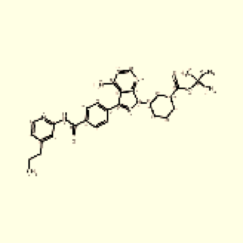 CCCc1ccnc(NC(=O)c2ccc(-c3nn([C@@H]4CCCN(C(=O)OC(C)(C)C)C4)c4ncnc(N)c34)cc2)c1